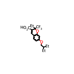 CCC(CC)COc1ccc2c(c1)OC(CC)(C(F)(F)F)C(C(=O)O)=C2